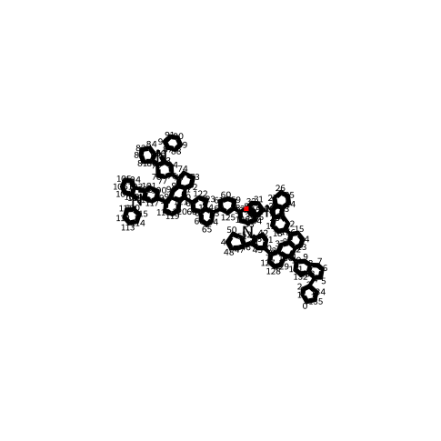 c1ccc(-c2cccc3cc(-c4c5cccc(-c6ccc7c(c6)c6ccccc6n7-c6ccccc6)c5cc5c(-c6ccc7c(c6)c6ccccc6n7-c6cccc(-c7cccc(-c8cccc9cc(-c%10c%11cccc(-c%12ccc%13c%14ccccc%14n(-c%14ccccc%14)c%13c%12)c%11cc%11c(-c%12ccc%13c%14ccccc%14n(-c%14ccccc%14)c%13c%12)cccc%10%11)ccc89)c7)c6)cccc45)ccc23)cc1